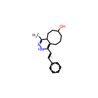 CC1=NNC(/C=C/c2ccccc2)=C2CCCC(O)CCC12